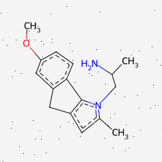 COc1ccc2c(c1)Cc1cc(C)n(CC(C)N)c1-2